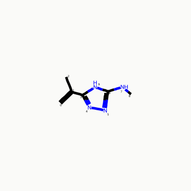 C=C(C)c1nnc(NC)[nH]1